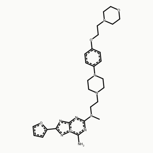 CN(CCN1CCN(c2ccc(OCCN3CCOCC3)cc2)CC1)c1nc(N)n2nc(-c3ccco3)nc2n1